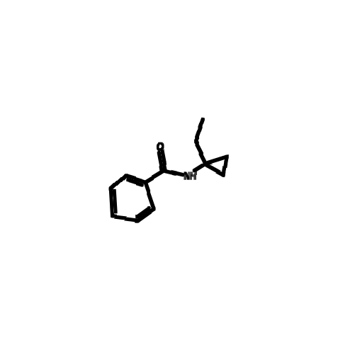 CCC1(NC(=O)c2ccccc2)CC1